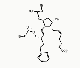 CCOC(C)OC[C@H](/C=C/[C@H]1C(OC(C)OCC)C[C@H](O)[C@@H]1C/C=C\CCCC(=O)O)CCc1ccccc1